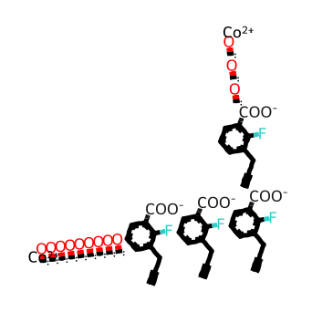 C#CCc1cccc(C(=O)[O-])c1F.C#CCc1cccc(C(=O)[O-])c1F.C#CCc1cccc(C(=O)[O-])c1F.C#CCc1cccc(C(=O)[O-])c1F.[C]=O.[C]=O.[C]=O.[C]=O.[C]=O.[C]=O.[C]=O.[C]=O.[C]=O.[C]=O.[C]=O.[C]=O.[Co+2].[Co+2]